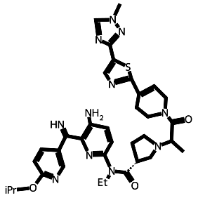 CCN(C(=O)[C@@H]1CCN(C(C)C(=O)N2CC=C(c3ncc(-c4ncn(C)n4)s3)CC2)C1)c1ccc(N)c(C(=N)c2ccc(OC(C)C)nc2)n1